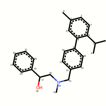 Cc1ccc(C(C)C)c(-c2ccc(CN(C)CC(O)c3ccccc3)cc2)c1